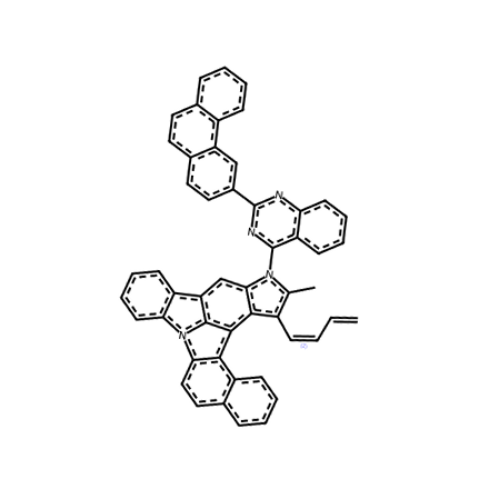 C=C/C=C\c1c(C)n(-c2nc(-c3ccc4ccc5ccccc5c4c3)nc3ccccc23)c2cc3c4ccccc4n4c5ccc6ccccc6c5c(c12)c34